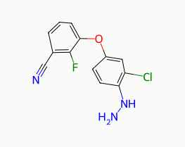 N#Cc1cccc(Oc2ccc(NN)c(Cl)c2)c1F